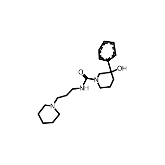 O=C(NCCCN1CCCCC1)N1CCCC(O)(c2ccccc2)C1